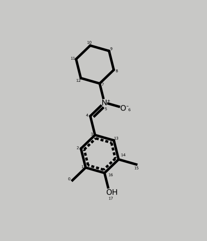 Cc1cc(C=[N+]([O-])C2CCCCC2)cc(C)c1O